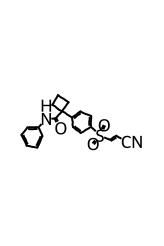 N#CC=CS(=O)(=O)c1ccc(C2(C(=O)Nc3ccccc3)CCC2)cc1